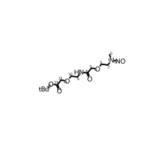 CN(CCOCC(=O)NCCOCC(=O)OC(C)(C)C)N=O